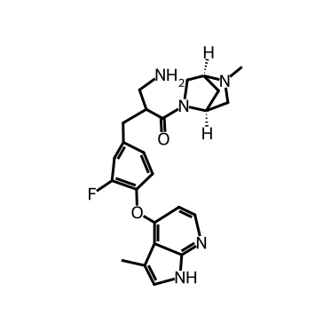 Cc1c[nH]c2nccc(Oc3ccc(CC(CN)C(=O)N4C[C@@H]5C[C@H]4CN5C)cc3F)c12